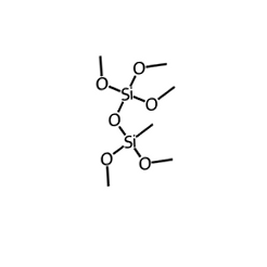 CO[Si](C)(OC)O[Si](OC)(OC)OC